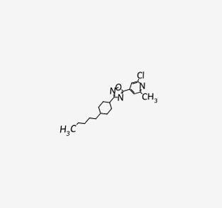 CCCCCC1CCC(c2noc(-c3cc(C)nc(Cl)c3)n2)CC1